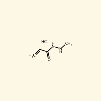 C=CC(=O)NNC.Cl